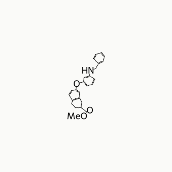 COC(=O)C1CCc2ccc(Oc3cccc(NCc4ccccc4)c3)cc2C1